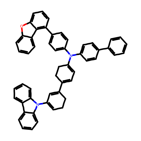 C1=C(C2=CC=C(N(c3ccc(-c4ccccc4)cc3)c3ccc(-c4cccc5oc6ccccc6c45)cc3)CC2)CCC=C1n1c2ccccc2c2ccccc21